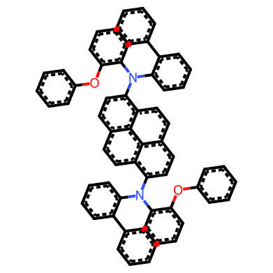 c1ccc(Oc2ccccc2N(c2ccccc2-c2ccccc2)c2ccc3ccc4c(N(c5ccccc5Oc5ccccc5)c5ccccc5-c5ccccc5)ccc5ccc2c3c54)cc1